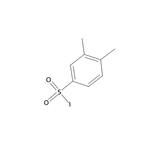 Cc1ccc(S(=O)(=O)I)cc1C